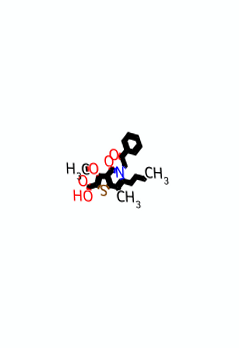 CCCCc1c(C)c2sc(C(=O)O)c(OC)c2c(=O)n1CC(=O)c1ccccc1